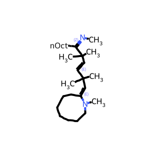 CCCCCCCC/C(=N/C)C(C)(C)/C=C/C(C)(C)/C=C1\CCCCCCCN1C